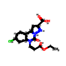 CCOC(=O)/C=C\n1c(=O)n2nc(C(=O)O)cc2c2ccc(Cl)cc21